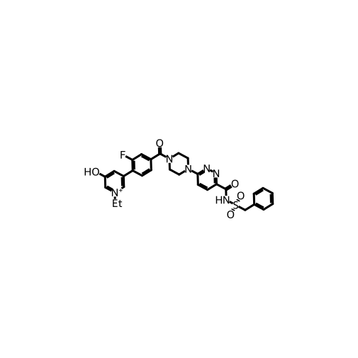 CC[n+]1cc(O)cc(-c2ccc(C(=O)N3CCN(c4ccc(C(=O)NS(=O)(=O)Cc5ccccc5)nn4)CC3)cc2F)c1